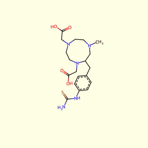 CN1CCN(CC(=O)O)CCN(CC(=O)O)C(Cc2ccc(NC(N)=S)cc2)C1